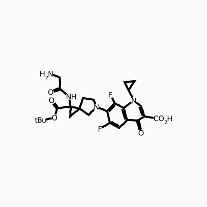 CC(C)(C)OC(=O)C1(NC(=O)CN)CC12CCN(c1c(F)cc3c(=O)c(C(=O)O)cn(C4CC4)c3c1F)C2